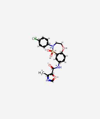 Cc1ncoc1C(=O)Nc1ccc2c(c1)S(=O)(=O)N(c1ccc(Cl)cc1)CCO2